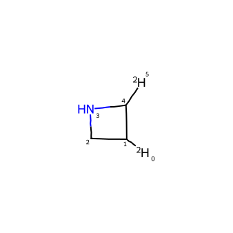 [2H]C1CNC1[2H]